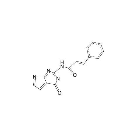 O=C(C=Cc1ccccc1)NC1=NC(=O)C2=CC=NC2=N1